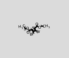 CCOC(=O)c1sc(C(=O)OCC)c(Br)c1Br